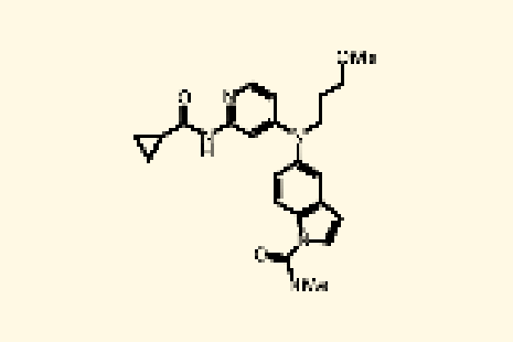 CNC(=O)n1ccc2cc(N(CCCOC)c3ccnc(NC(=O)C4CC4)c3)ccc21